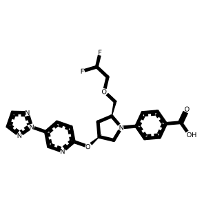 O=C(O)c1ccc(N2C[C@@H](Oc3ccc(-n4nccn4)cn3)C[C@H]2COCC(F)F)cc1